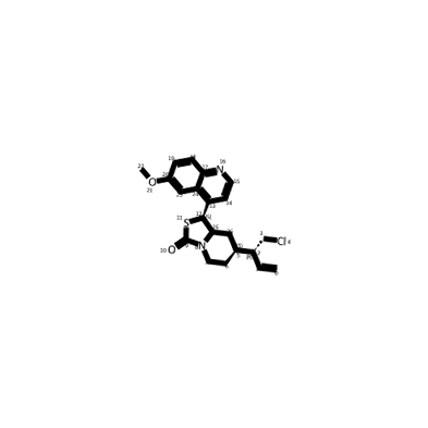 C=C[C@@H](CCl)[C@H]1CCN2C(=O)S[C@@H](c3ccnc4ccc(OC)cc34)C2C1